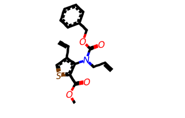 C=CCN(C(=O)OCc1ccccc1)c1c(C=C)csc1C(=O)OC